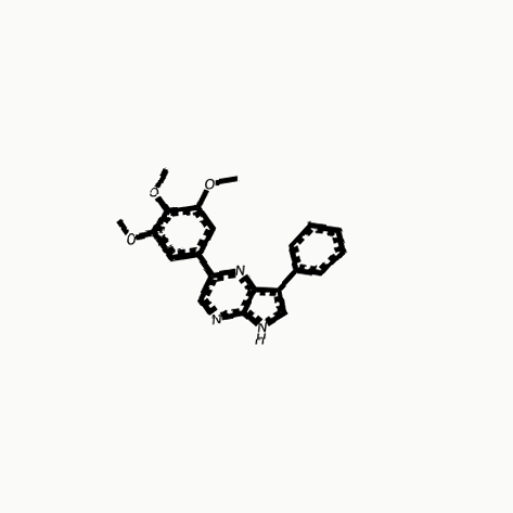 COc1cc(-c2cnc3[nH]cc(-c4ccccc4)c3n2)cc(OC)c1OC